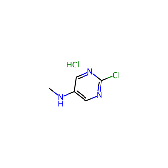 CNc1cnc(Cl)nc1.Cl